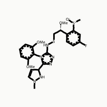 COc1cccc(OC)c1-n1c(NSC[C@H](OC)c2ccc(F)cc2[S+](C)[O-])nnc1C1C=CN(C)N1